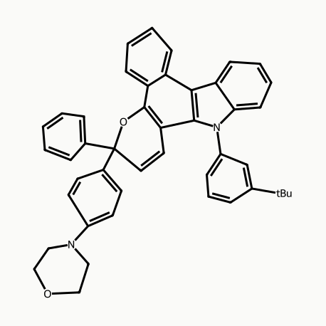 CC(C)(C)c1cccc(-n2c3ccccc3c3c4ccccc4c4c(c32)C=CC(c2ccccc2)(c2ccc(N3CCOCC3)cc2)O4)c1